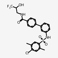 Cc1cc(S(=O)(=O)Nc2cccc(-c3ccc(C(=O)NCC(O)C(F)(F)F)cc3)c2)c(C)cc1Cl